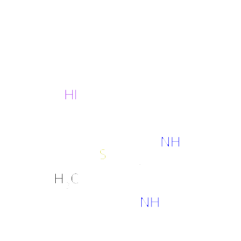 CSC(=N)Nc1ccccc1.I